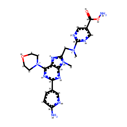 CN(Cc1nc2c(N3CCOCC3)nc(-c3ccc(N)nc3)nc2n1C)c1ncc(C(=O)ON)cn1